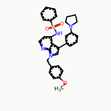 COc1ccc(Cn2cc(-c3cccc(N4CCCC4)c3)c3c(NS(=O)(=O)c4ccccc4)ccnc32)cc1